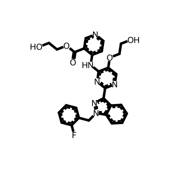 O=C(OCCO)c1cnccc1Nc1nc(-c2nn(Cc3ccccc3F)c3ccccc23)ncc1OCCO